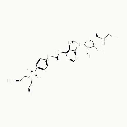 C=CCN(CC=C)S(=O)(=O)c1ccc(NC(=O)Nc2ncnc3c2ncn3[C@@H]2O[C@H](C(=O)NCC)[C@@H](O)[C@H]2O)cc1